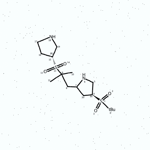 CC(C)(C)S(=O)(=O)[C@@H]1CNC(CC(C)(C)S(=O)(=O)[C@@H]2CCNC2)C1